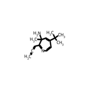 C=C=CC1=NC=CC(C(C)(C)C)=CC1(C)N